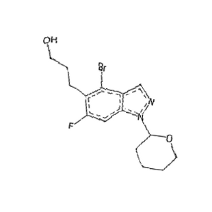 OCCCc1c(F)cc2c(cnn2C2CCCCO2)c1Br